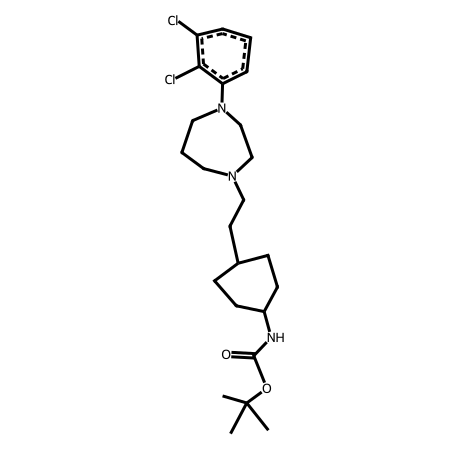 CC(C)(C)OC(=O)NC1CCC(CCN2CCCN(c3cccc(Cl)c3Cl)CC2)CC1